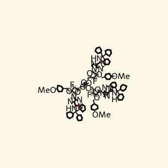 COc1ccc(CO[C@@H]2[C@@H](F)[C@@H](COP(=O)(OC[C@H]3O[C@@H](n4cnc5c(NC(c6ccccc6)(c6ccccc6)c6ccccc6)ncnc54)[C@H](OCc4ccc(OC)cc4)[C@H]3F)OC[C@H]3O[C@@H](n4cnc5c(NC(c6ccccc6)(c6ccccc6)c6ccccc6)ncnc54)[C@H](OCc4ccc(OC)cc4)[C@H]3F)O[C@H]2n2cnc3c(NC(c4ccccc4)(c4ccccc4)c4ccccc4)ncnc32)cc1